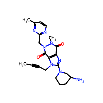 CC#CCn1c(N2CCCC(N)C2)nc2c(=O)n(C)n(Cc3nccc(C)n3)c(=O)c21